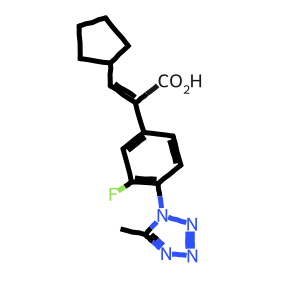 Cc1nnnn1-c1ccc(C(=CC2CCCC2)C(=O)O)cc1F